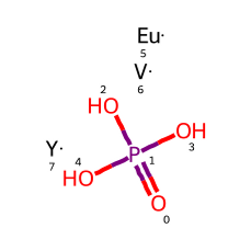 O=P(O)(O)O.[Eu].[V].[Y]